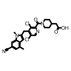 Cc1cc(C#N)cc2c1cc(Cc1c(Cl)cnc(C(=O)N3CCC(CC(=O)O)CC3)c1Cl)n2C